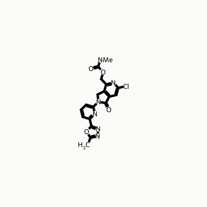 CNC(=O)OCc1nc(Cl)cc2c1CN(c1cccc(-c3nnc(C)o3)n1)C2=O